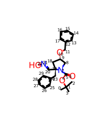 CC(C)(C)OC(=O)N1C[C@@H](OCc2ccccc2)C[C@]1(/C=N/O)Cc1ccccc1